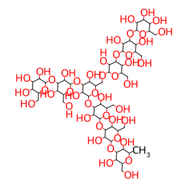 CC1OC(CO)C(O)C(OC2OC(CO)C(O)C(OC3OC(CO)C(O)C(OC4OC(COC5OC(CO)C(O)C(OC6OC(CO)C(O)C(OC7OC(CO)C(O)C(O)C7O)C6O)C5O)C(O)C(OC5OC(CO)C(O)C(OC6OC(CO)C(O)C(O)C6O)C5O)C4O)C3O)C2O)C1O